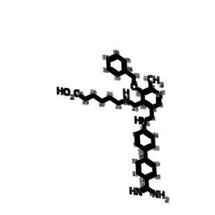 Cc1ncc(CNc2ccc(-c3ccc(C(=N)N)cc3)cc2)c(CNCCCCCC(=O)O)c1OCc1ccccc1